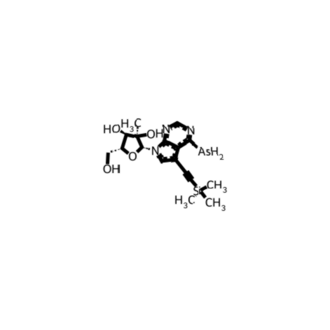 C[C@@]1(O)[C@H](O)[C@@H](CO)O[C@H]1n1cc(C#C[Si](C)(C)C)c2c([AsH2])ncnc21